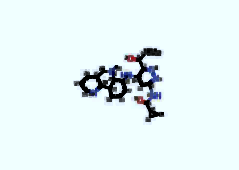 CNC(=O)c1nnc(NC(=O)C2CC2)cc1Nc1cccc2c1N(C)Cc1cccnc1-2